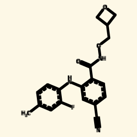 Cc1ccc(Nc2cc(C#N)ccc2C(=O)NOCC2COC2)c(F)c1